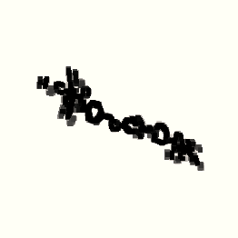 CC(C)(C)OC(=O)N1CCN(c2ncc(OCc3ccc(NC(=O)C(C)(C)C)cc3)cn2)CC1